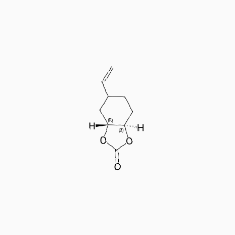 C=CC1CC[C@H]2OC(=O)O[C@@H]2C1